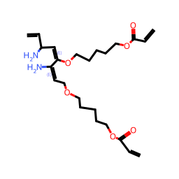 C=CC(=O)OCCCCCOC/C=C(N)\C(=C/C(N)C=C)OCCCCCOC(=O)C=C